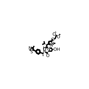 COC(COc1cc([C@H](C(=O)N2C[C@H](O)C[C@H]2C(=O)N[C@@H](C)c2ccc(-c3scnc3C)cc2)C(C)C)nn1C)OC